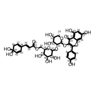 C[C@@H]1OC(Oc2c(-c3ccc(O)cc3)oc3cc(O)cc(O)c3c2=O)[C@H](OC2O[C@H](COC(=O)/C=C/C3=CCC(O)(O)C=C3)[C@@H](O)[C@H](O)[C@H]2O)[C@H](O)[C@H]1O